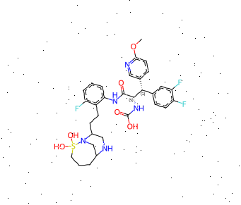 COc1ccc([C@H](c2ccc(F)c(F)c2)[C@H](NC(=O)O)C(=O)Nc2cccc(F)c2CCC2CNC3CCCS(O)(O)N2C3)cn1